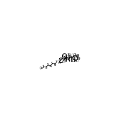 CCCCCCCCCOCC(=O)NC(C)c1ccccc1